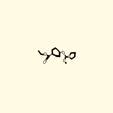 CCOC(=O)[C@H]1CC[C@H](OC(OC)N2CCCC2)CC1